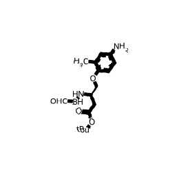 Cc1cc(N)ccc1OC[C@@H](CC(=O)OC(C)(C)C)NBC=O